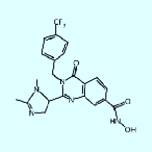 CC1=NCC(c2nc3cc(C(=O)NO)ccc3c(=O)n2Cc2ccc(C(F)(F)F)cc2)N1C